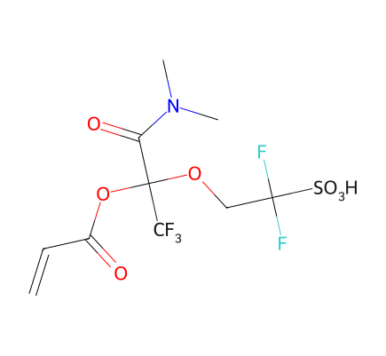 C=CC(=O)OC(OCC(F)(F)S(=O)(=O)O)(C(=O)N(C)C)C(F)(F)F